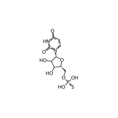 O=c1ccn([C@H]2O[C@@H](COP(O)(O)=S)C(O)C2O)c(=O)[nH]1